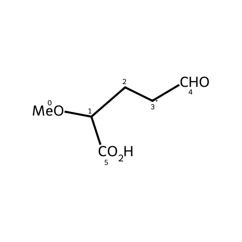 COC(C[CH]C=O)C(=O)O